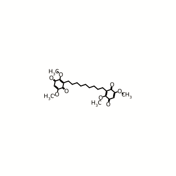 COC1=CC(=O)C(OC)=C(CCCCCCCCCC2=C(OC)C(=O)C=C(OC)C2=O)C1=O